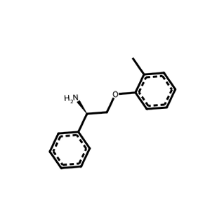 Cc1ccccc1OC[C@H](N)c1ccccc1